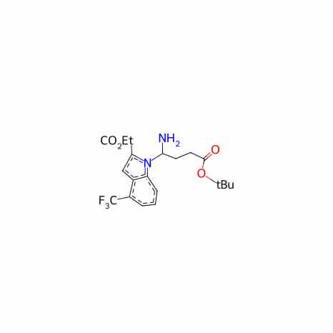 CCOC(=O)c1cc2c(C(F)(F)F)cccc2n1C(N)CCC(=O)OC(C)(C)C